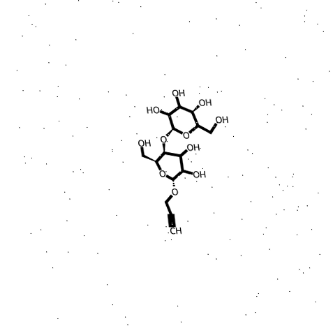 C#CCO[C@@H]1O[C@@H](CO)[C@@H](O[C@@H]2OC(CO)[C@H](O)C(O)C2O)C(O)C1O